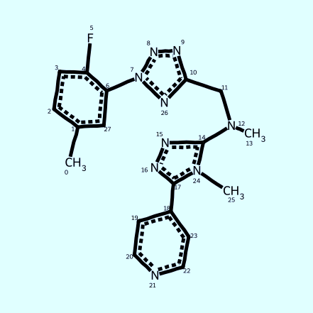 Cc1ccc(F)c(-n2nnc(CN(C)c3nnc(-c4ccncc4)n3C)n2)c1